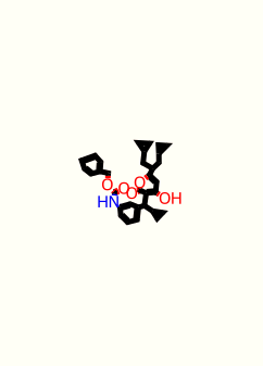 O=C(Nc1cccc(C(c2c(O)cc(C(CC3CC3)CC3CC3)oc2=O)C2CC2)c1)OCc1ccccc1